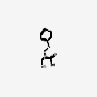 CCN(SSc1ccccc1)C(=O)O